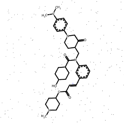 CN1CCC(OC(=O)/C=C/c2cccc(N(CC3CCN(c4ccc(N(C)C)cc4)CC3=O)C(=O)C3CCC(O)CC3)c2)CC1